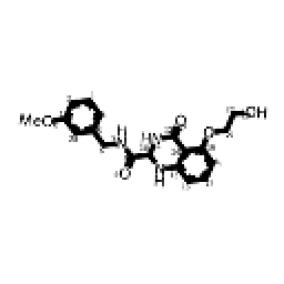 COc1cccc(CNC(=O)C2NC(=O)c3c(cccc3OCCO)N2)c1